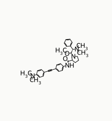 COC([C@@H](c1ccccc1)N(C)C)N1CCCC1C(=O)Nc1ccc(C#Cc2ccc(N(C)C)cc2)cc1